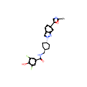 CC(C)c1ncc(-c2ccc3cn([C@H]4CC[C@H](CNC(=O)c5cc(F)c(O)c(F)c5)CC4)nc3c2)o1